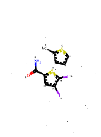 N#Cc1cccs1.NC(=O)c1cc(I)c(I)s1